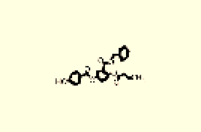 CCCC(=O)Oc1ccc(OC(=O)c2ccc(O)cc2)cc1C(=O)OCc1ccccc1